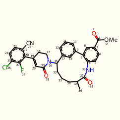 COC(=O)c1ccc2c(c1)-c1cccc(c1)C(N1CCC(c3c(C#N)ccc(Cl)c3F)=CC1=O)CCCC(C)C(=O)N2